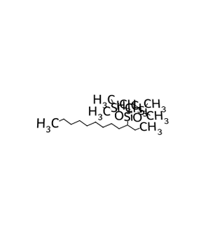 CCCCCCCCCC(CC)[Si](C)(O[Si](C)(C)C)O[Si](C)(C)C